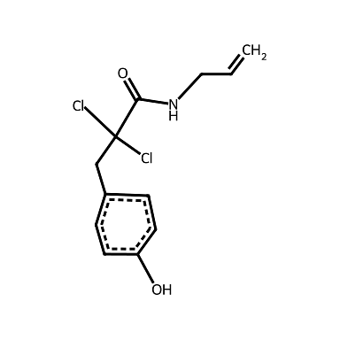 C=CCNC(=O)C(Cl)(Cl)Cc1ccc(O)cc1